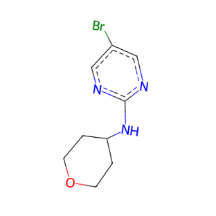 Brc1cnc(NC2CCOCC2)nc1